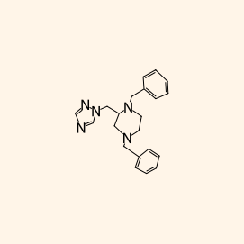 c1ccc(CN2CCN(Cc3ccccc3)C(Cn3cncn3)C2)cc1